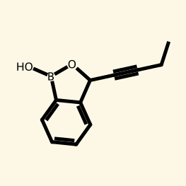 CCC#CC1OB(O)c2ccccc21